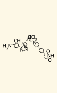 Cc1cc(-c2ncnn3cc(CN(C)CCN4CCC(c5ccc(C6CCC(=O)NC6=O)cc5)CC4)cc23)ccc1CN.Cl